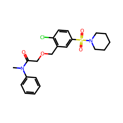 CN(C(=O)COCc1cc(S(=O)(=O)N2CCCCC2)ccc1Cl)c1ccccc1